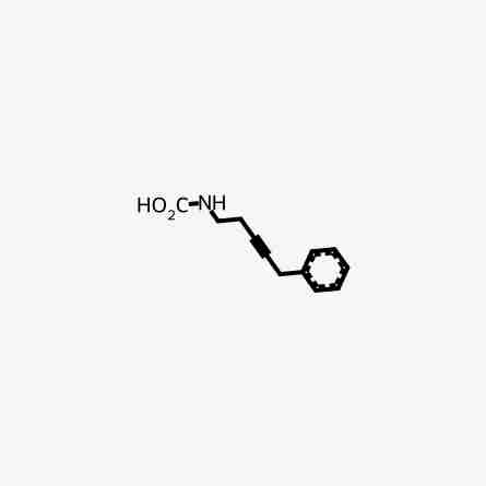 O=C(O)NCCC#CCc1ccccc1